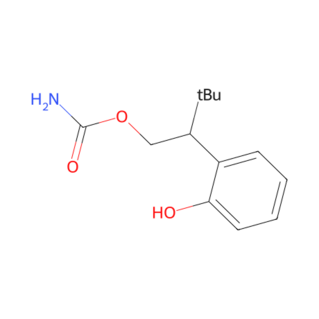 CC(C)(C)C(COC(N)=O)c1ccccc1O